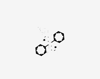 O=S(=O)(O)[PH](c1ccccc1)(c1ccccc1)S(=O)(=O)O.[NaH].[NaH]